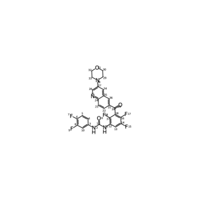 O=C(Nc1ccc(F)c(F)c1)Nc1cc(F)c(F)c(C(=O)c2ccc3ncc(N4CCOCC4)cc3c2)c1F